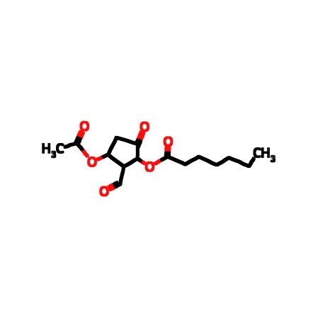 CCCCCCC(=O)OC1C(=O)CC(OC(C)=O)C1C=O